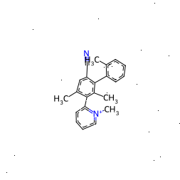 Cc1ccccc1-c1c(C#N)cc(C)c(-c2cccc[n+]2C)c1C